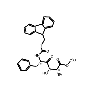 CC(C)[C@@H](C(=O)OC(C)(C)C)N(O)C(=O)[C@H](Cc1ccccc1)NC(=O)OCC1c2ccccc2-c2ccccc21